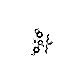 CCCCN(C=O)CCCC.COc1ccc([C@H]2[C@H](C(=O)O)[C@@H](c3ccc4c(c3)OCO4)CN2C)cc1